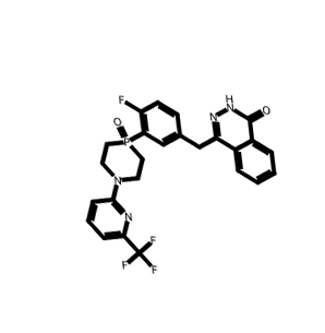 O=c1[nH]nc(Cc2ccc(F)c(P3(=O)CCN(c4cccc(C(F)(F)F)n4)CC3)c2)c2ccccc12